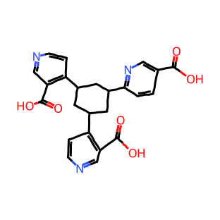 O=C(O)c1ccc(C2CC(c3ccncc3C(=O)O)CC(c3ccncc3C(=O)O)C2)nc1